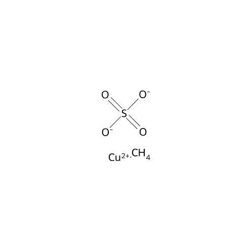 C.O=S(=O)([O-])[O-].[Cu+2]